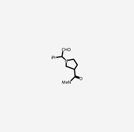 CNC(=O)C1CCN(C(C=O)C(C)C)C1